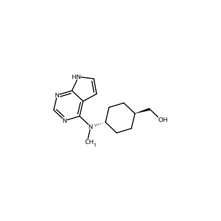 CN(c1ncnc2[nH]ccc12)[C@H]1CC[C@H](CO)CC1